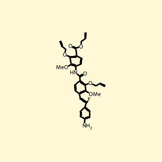 C=CCOC(=O)c1ccc(NC(=O)c2ccc(/C=C(\F)c3ccc(N)cc3)c(OC)c2OCC=C)c(OC)c1OCC=C